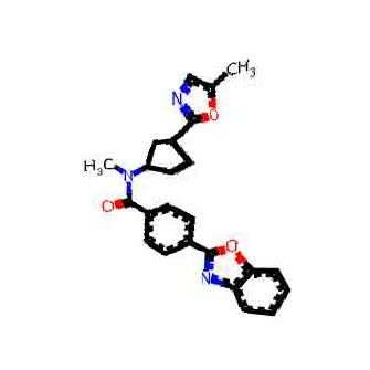 Cc1cnc(C2CCC(N(C)C(=O)c3ccc(-c4nc5ccccc5o4)cc3)C2)o1